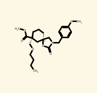 CCCCOC[C@]1(C(=O)OC)CCC[C@@]2(CN(Cc3ccc(OC)cc3)C(=O)O2)C1